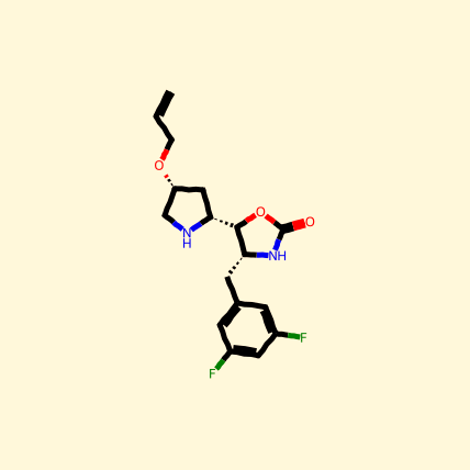 C=CCO[C@H]1CN[C@@H](C2OC(=O)N[C@@H]2Cc2cc(F)cc(F)c2)C1